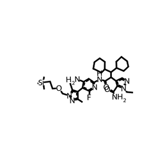 CCn1ncc(C(C(=O)Nc2cc(N)c(-c3c(C)nn(COCC[Si](C)(C)C)c3C)c(F)n2)C(C2CCCCC2)C2CCCCC2)c1C(N)=O